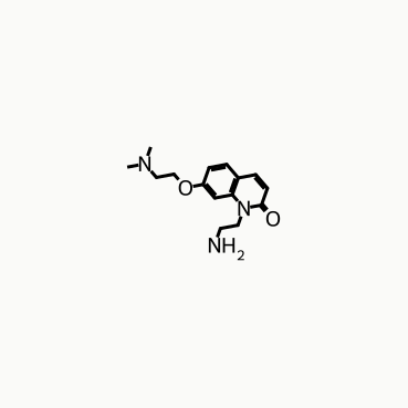 CN(C)CCOc1ccc2ccc(=O)n(CCN)c2c1